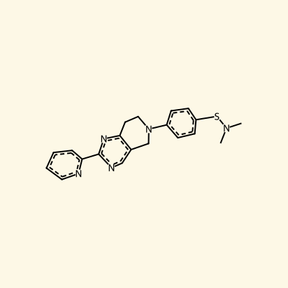 CN(C)Sc1ccc(N2CCc3nc(-c4ccccn4)ncc3C2)cc1